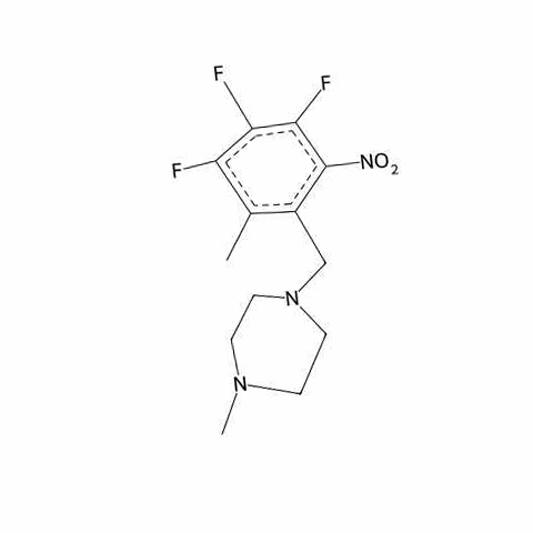 Cc1c(F)c(F)c(F)c([N+](=O)[O-])c1CN1CCN(C)CC1